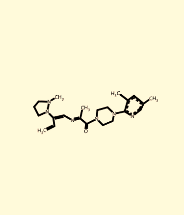 C=C/C(=C\N=C(/C)C(=O)N1CCN(c2ncc(C)cc2C)CC1)N1CCCN1C